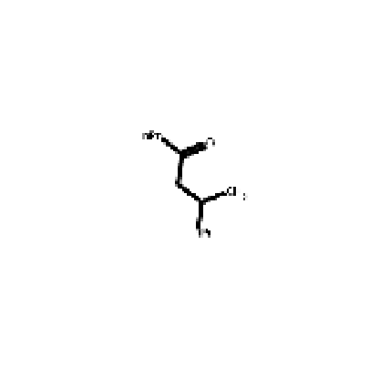 CCCC(=O)CC(C)CCC